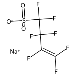 O=S(=O)([O-])C(F)(F)C(F)(F)C(F)=C(F)F.[Na+]